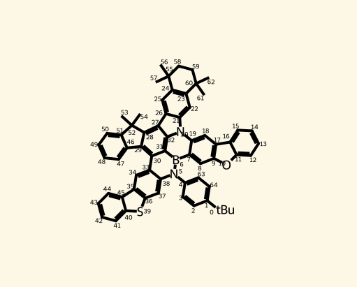 CC(C)(C)c1ccc(N2B3c4cc5oc6ccccc6c5cc4-n4c5cc6c(cc5c5c7c(c(c3c54)-c3cc4c(cc32)sc2ccccc24)-c2ccccc2C7(C)C)C(C)(C)CCC6(C)C)cc1